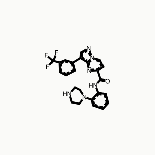 O=C(Nc1ccccc1N1CCNCC1)c1ccn2ncc(-c3cccc(C(F)(F)F)c3)c2n1